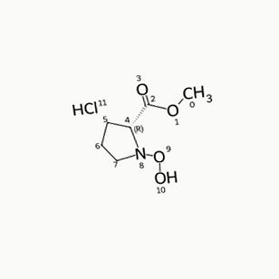 COC(=O)[C@H]1CCCN1OO.Cl